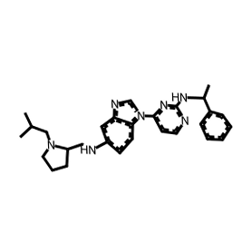 CC(C)CN1CCCC1CNc1ccc2c(c1)ncn2-c1ccnc(NC(C)c2ccccc2)n1